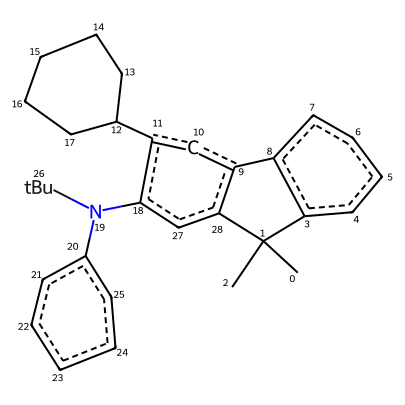 CC1(C)c2ccccc2-c2cc(C3CCCCC3)c(N(c3ccccc3)C(C)(C)C)cc21